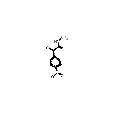 CNC(=O)C(Cl)c1ccc([N+](=O)[O-])cc1